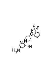 N#Cc1cc(N)cnc1N1CCC(Oc2ccccc2C(F)(F)F)CC1